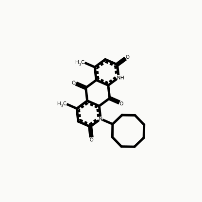 Cc1cc(=O)[nH]c2c1C(=O)c1c(C)cc(=O)n(C3CCCCCCC3)c1C2=O